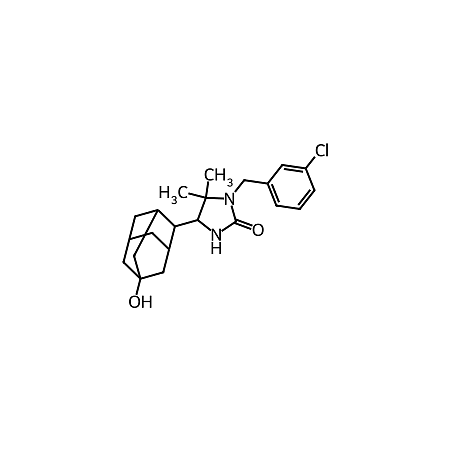 CC1(C)C(C2C3CC4CC2CC(O)(C4)C3)NC(=O)N1Cc1cccc(Cl)c1